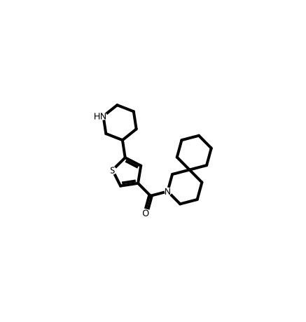 O=C(c1csc(C2CCCNC2)c1)N1CCCC2(CCCCC2)C1